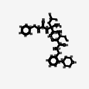 CCC(NC(=O)[C@@]([SiH3])(CC(C)C)NC(=O)NCc1ccccc1)C(=O)C(=O)NCc1ccccc1N1CCOCC1